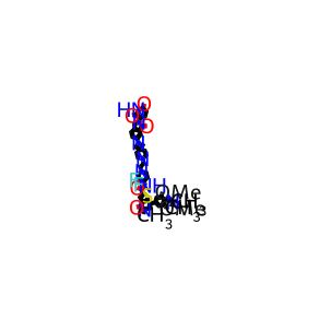 COc1cc(-c2cn(C)c(=O)c3cc(C(=O)NC4CCN(CCN5CCC6(CC5)CN(c5ccc7c(c5)C(=O)N(C5CCC(=O)NC5=O)C7)C6)CC4(F)F)sc23)cc(OC)c1CN(C)C